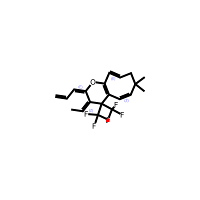 C=C/C=C1/OC2=C(/C=C\C(C)(C)C/C=C/2)C(C(F)(F)F)(C(F)(F)F)/C1=C/C